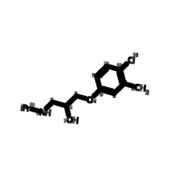 Cc1cc(OCC(O)CNC(C)C)ccc1Cl